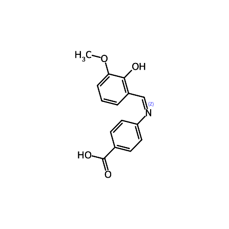 COc1cccc(/C=N\c2ccc(C(=O)O)cc2)c1O